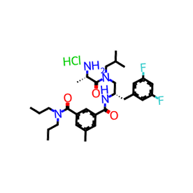 CCCN(CCC)C(=O)c1cc(C)cc(C(=O)N[C@@H](Cc2cc(F)cc(F)c2)CN(CC(C)C)C(=O)[C@H](C)N)c1.Cl